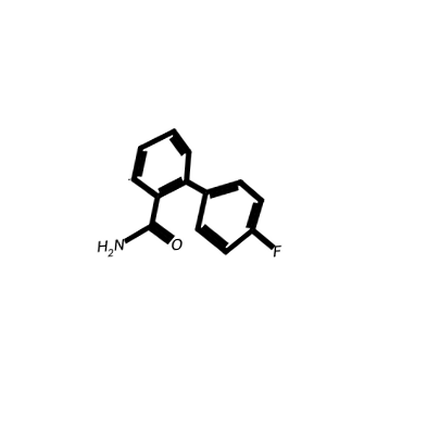 NC(=O)c1[c]cccc1-c1ccc(F)cc1